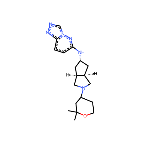 CC1(C)CC(N2C[C@H]3C[C@H](Nc4ccc5nncn5n4)C[C@H]3C2)CCO1